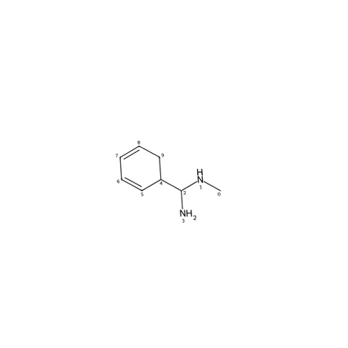 CNC(N)C1C=CC=CC1